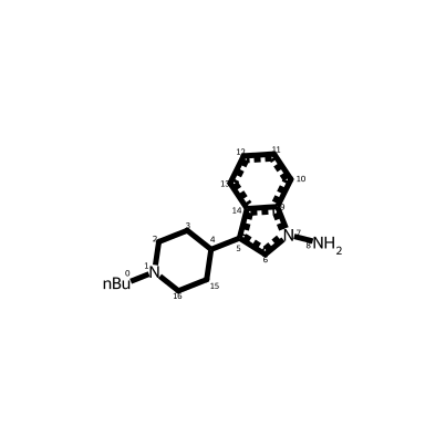 CCCCN1CCC(c2cn(N)c3ccccc23)CC1